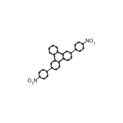 O=[N+]([O-])c1ccc(-c2ccc3c4ccc(-c5ccc([N+](=O)[O-])cc5)cc4c4ccccc4c3c2)cc1